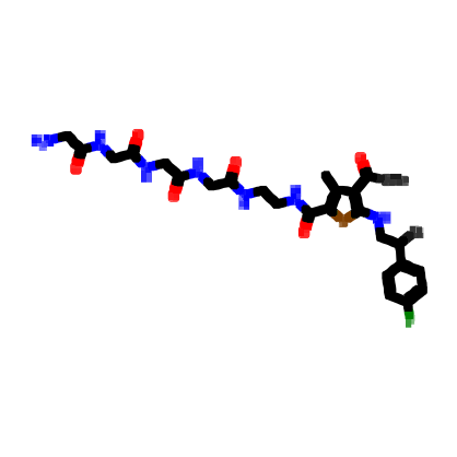 CCC(CNc1sc(C(=O)NCCNC(=O)CNC(=O)CNC(=O)CNC(=O)CN)c(C)c1C(=O)OC)c1ccc(F)cc1